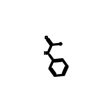 O=C([S])Nc1ccccc1